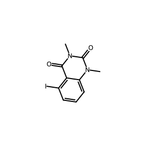 Cn1c(=O)c2c(I)cccc2n(C)c1=O